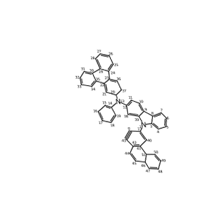 c1c(-n2c3ccccc3c3ccc(N(c4ccccc4)C4C=c5c(c6ccccc6c6ccccc56)=CC4)cc32)cc2c(c#1)C=CC1C=CC=CC21